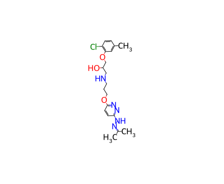 CC(C)=NNc1ccc(OCCCNCC(O)COc2cc(C)ccc2Cl)nn1